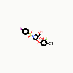 N#Cc1ccc(OC2CN(S(=O)(=O)c3ccc(I)cc3)C[C@@]2(O)CO)cc1F